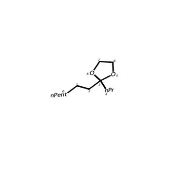 CCCCCCCC1(CCC)OCCO1